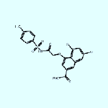 COC(=O)c1cc(OCC(=O)NS(=O)(=O)c2ccc(C)cc2)c2c(Cl)cc(Cl)cc2c1